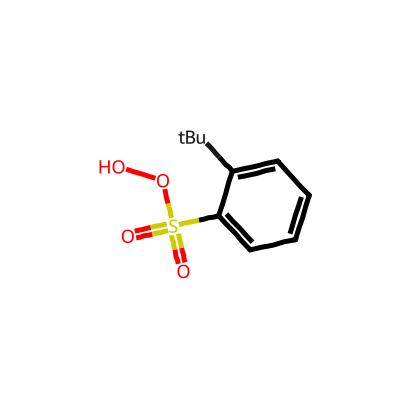 CC(C)(C)c1ccccc1S(=O)(=O)OO